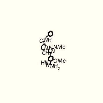 CNc1nc(-c2cc(OC)c3c(N)n[nH]c3c2)cc(N2C[C@@H](C(=O)NCc3ccccc3)CC[C@H]2C)n1